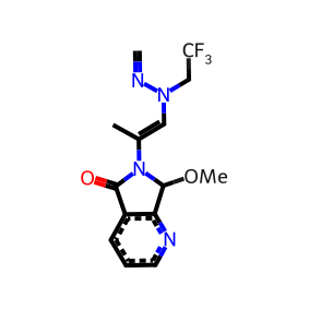 C=NN(/C=C(\C)N1C(=O)c2cccnc2C1OC)CC(F)(F)F